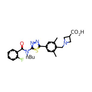 CCCCN(C(=O)c1ccccc1F)c1nnc(-c2cc(C)c(CN3CC(C(=O)O)C3)c(C)c2)s1